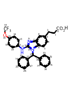 O=C(O)CCc1ccc2c(c1)nc(Nc1ccc(OC(F)(F)F)cc1)n2C(c1ccccc1)c1ccccc1